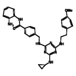 COc1ccc(CCNc2nc(NCc3ccc(C(=O)Nc4ccccc4N)cc3)nc(NC3CC3)n2)cc1